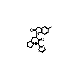 Cc1ccc2c(c1)CC(=O)N2C(CC1CCCC1)C(=O)Nc1nccs1